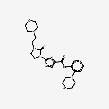 O=C(Nc1cnccc1N1CCNCC1)c1csc(N2CCN(CCN3CCOCC3)C2=O)n1